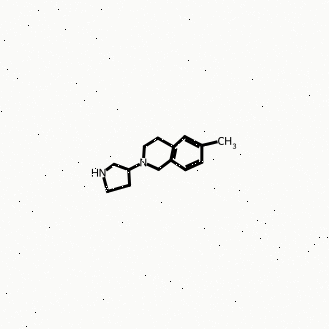 Cc1ccc2c(c1)CCN(C1CCNC1)C2